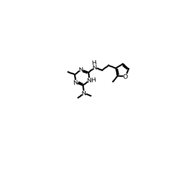 Cc1occc1CCNC1=NC(C)N=C(N(C)C)N1